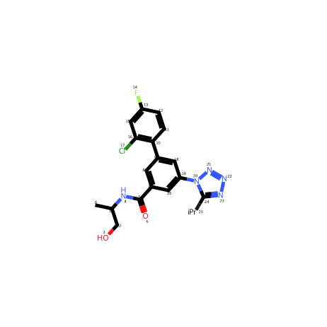 CC(CO)NC(=O)c1cc(-c2ccc(F)cc2Cl)cc(-n2nnnc2C(C)C)c1